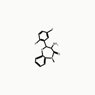 CN1C(=O)C(N)C(c2cc(F)ccc2F)Sc2ccccc21